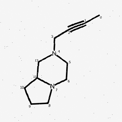 CC#CCN1CCN2CCCC2C1